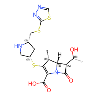 C[C@@H](O)[C@H]1C(=O)N2C(C(=O)O)=C(S[C@@H]3CN[C@H](CSc4nncs4)C3)[C@H](C)[C@H]12